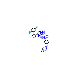 CN1CCN(Cc2ccc(C(=O)Nc3cnn4ccc(C5CCC[C@@H]5c5cc(F)ccc5F)nc34)cc2)CC1